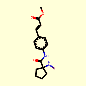 COC(=O)C=Cc1ccc(NC(=O)C2(NI)CCCC2)cc1